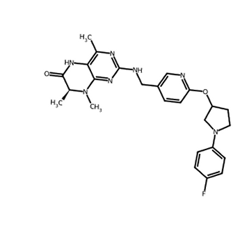 Cc1nc(NCc2ccc(OC3CCN(c4ccc(F)cc4)C3)nc2)nc2c1NC(=O)[C@H](C)N2C